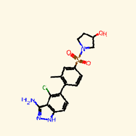 Cc1cc(S(=O)(=O)N2CCC(O)C2)ccc1-c1ccc2[nH]nc(N)c2c1Cl